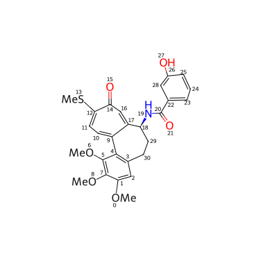 COc1cc2c(c(OC)c1OC)-c1ccc(SC)c(=O)cc1[C@@H](NC(=O)c1cccc(O)c1)CC2